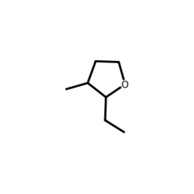 CCC1OCCC1C